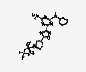 CN(c1ccccc1)c1nc(N)nc(-c2noc(C3CCN(S(=O)(=O)CC(F)(F)F)C3)n2)n1